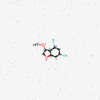 CCCOc1coc2cc(F)cc(F)c12